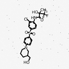 CC(O)(C(=O)Nc1ccc(S(=O)(=O)c2ccc(N3CCCC(CO)C3)cc2)cc1Cl)C(F)(F)F